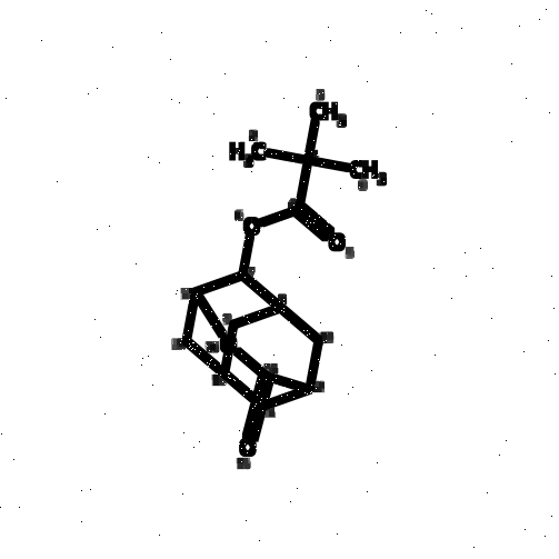 CC(C)(C)C(=O)OC1C2CC3CC(C2)C(=O)OC1C3